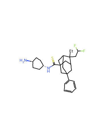 CCC1(CC(F)F)C2CC3(C(=S)N[C@H]4CC[C@H](N)CC4)CC1CC(c1ccccc1)(C2)C3